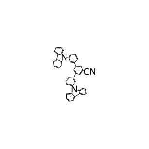 N#Cc1cc(-c2cccc(-n3c4ccccc4c4ccccc43)c2)cc(-c2cccc(-n3c4ccccc4c4ccccc43)c2)c1